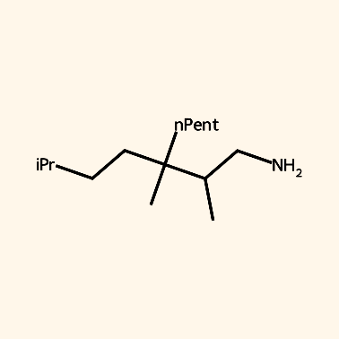 CCCCCC(C)(CCC(C)C)C(C)CN